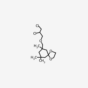 CC1(C)CC(C)(COCC(Cl)CCl)CC2(C1)OCCO2